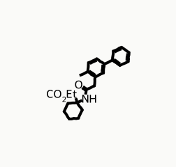 CCOC(=O)C1(NC(=O)Cc2cc(-c3ccccc3)ccc2C)CCCCC1